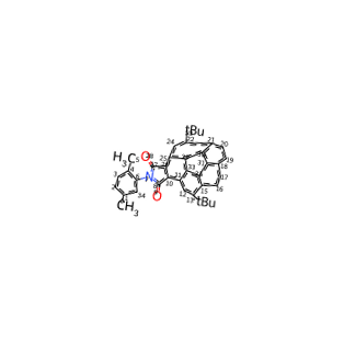 Cc1ccc(C)c(-n2c(=O)c3c4cc(C(C)(C)C)c5ccc6ccc7c(C(C)(C)C)cc(c3c2=O)c2c7c6c5c42)c1